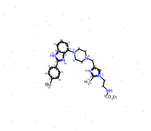 CCOC(=O)NCCn1cc(CN2CCN(c3cccc4[nH]c(-c5ccc(C(C)(C)C)cc5)nc34)CC2)nc1C